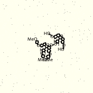 COc1ccc(Oc2ccc3c4c(ccc3c2)Oc2c(OCCOc3c(I)cc(C5c6c(ccc7cc(OCCO)ccc67)Oc6ccc7cc(OCCO)ccc7c65)cc3I)cc3cc(Oc5ccc(OC)cc5)ccc3c2C4c2cc(I)c(Oc3ccc(OC)cc3)c(I)c2)cc1